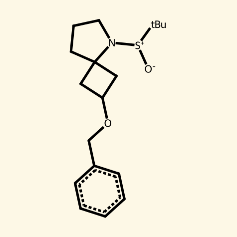 CC(C)(C)[S+]([O-])N1CCCC12CC(OCc1ccccc1)C2